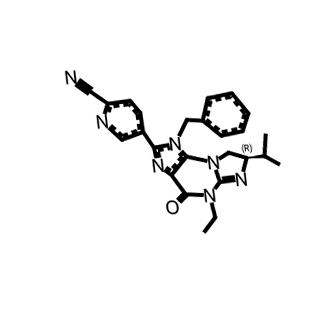 CCN1C(=O)c2nc(-c3ccc(C#N)nc3)n(Cc3ccccc3)c2N2C[C@@H](C(C)C)N=C12